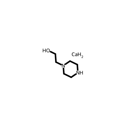 OCCN1CCNCC1.[CaH2]